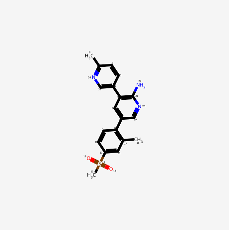 Cc1ccc(-c2cc(-c3ccc(S(C)(=O)=O)cc3C)cnc2N)cn1